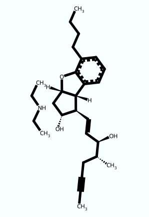 CC#CC[C@@H](C)[C@H](O)C=C[C@@H]1[C@H]2c3cccc(CCCC)c3O[C@H]2C[C@H]1O.CCNCC